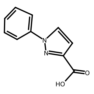 O=C(O)c1ccn(-c2ccccc2)n1